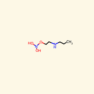 CCCNCCON(O)O